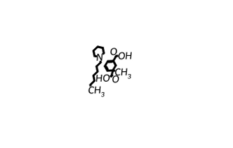 CC1(C(=O)O)C=CC=C(C(=O)O)C1.CCCCCCCN1CCCCC1